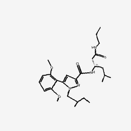 CCCNC(=O)C[C@H](CC(C)C)NC(=O)c1cc(-c2c(OC)cccc2OC)n(CC(C)CC)n1